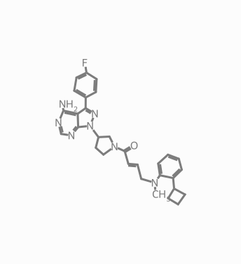 CN(CC=CC(=O)N1CCC(n2nc(-c3ccc(F)cc3)c3c(N)ncnc32)C1)c1ccccc1C1CCC1